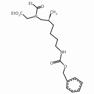 CCOC(=O)CN(C[C@@H](C)CCCCNC(=O)OCc1ccccc1)C(=O)CC